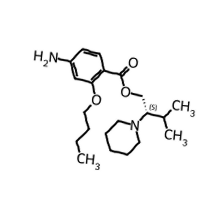 CCCCOc1cc(N)ccc1C(=O)OC[C@H](C(C)C)N1CCCCC1